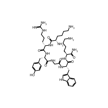 N=C(N)NCCC[C@H](NC(=O)[C@@H](N)CCCCN)C(=O)N[C@@H](Cc1ccc(O)cc1)C(=O)NCC(=O)N[C@@H](Cc1c[nH]c2ccccc12)C(=O)N[C@@H](CCCCN)C(N)=O